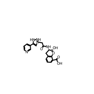 O=C(CN1C=C(c2cccnc2)NN1)N[C@H]1Cc2cccc(C(=O)O)c2OB1O